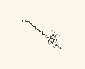 CC(C)(C)OC(=O)N[C@H]1[C@@H]2OC[C@](COCCOCCOCCOCCN)(O2)[C@@H]2OC(C)(C)O[C@H]12